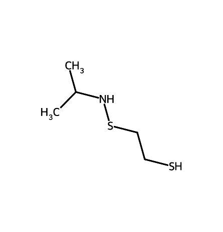 CC(C)NSCCS